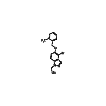 CC(C)(C)Cn1nnc2c(Br)c(OCc3ccccc3C(F)(F)F)ccc21